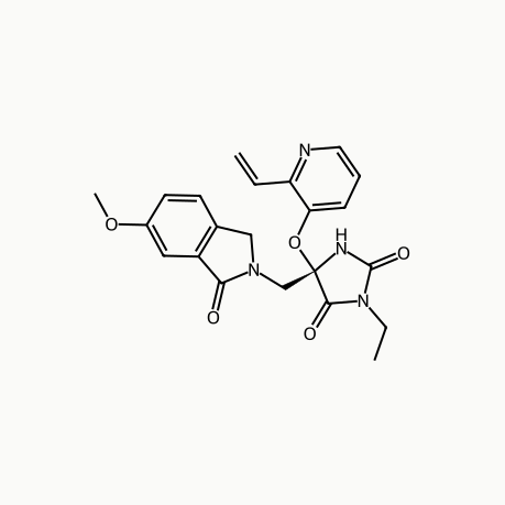 C=Cc1ncccc1O[C@]1(CN2Cc3ccc(OC)cc3C2=O)NC(=O)N(CC)C1=O